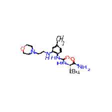 Cc1ccc(NC(=O)N[C@H](C(N)=O)C(C)(C)C)c(NCCN2CCOCC2)c1